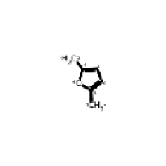 [CH2]c1ccc([CH2])o1